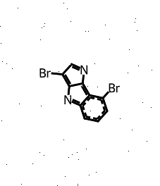 BrC1=C2N=c3cccc(Br)c3=C2N=C1